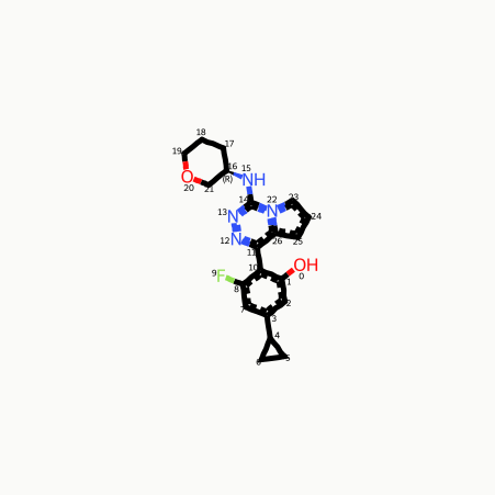 Oc1cc(C2CC2)cc(F)c1-c1nnc(N[C@@H]2CCCOC2)n2cccc12